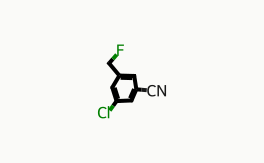 N#Cc1cc(Cl)cc(CF)c1